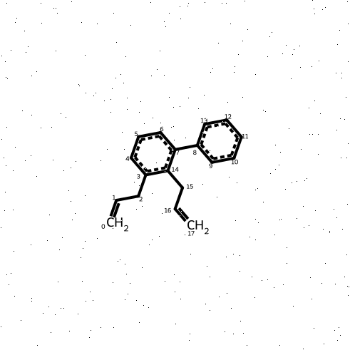 C=CCc1cccc(-c2ccccc2)c1CC=C